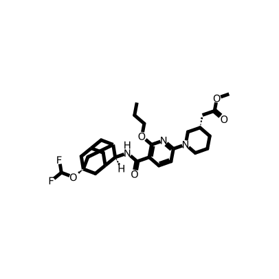 CCCOc1nc(N2CCC[C@@H](CC(=O)OC)C2)ccc1C(=O)N[C@H]1C2CC3CC1C[C@](OC(F)F)(C3)C2